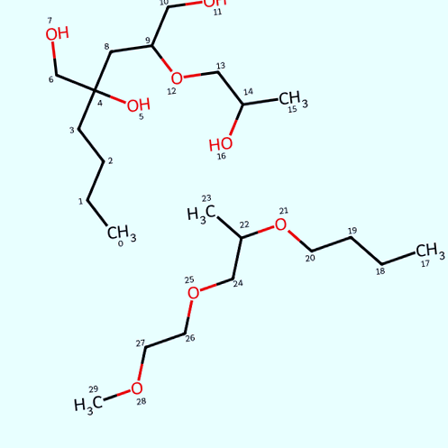 CCCCC(O)(CO)CC(CO)OCC(C)O.CCCCOC(C)COCCOC